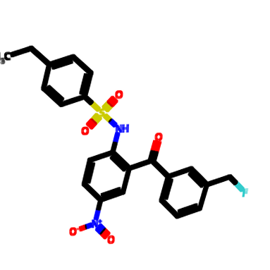 CCc1ccc(S(=O)(=O)Nc2ccc([N+](=O)[O-])cc2C(=O)c2cccc(CF)c2)cc1